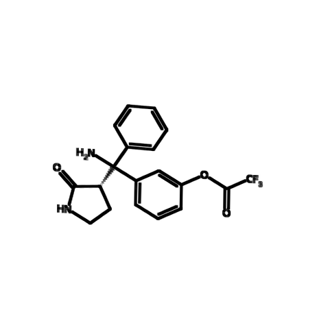 NC(c1ccccc1)(c1cccc(OC(=O)C(F)(F)F)c1)[C@@H]1CCNC1=O